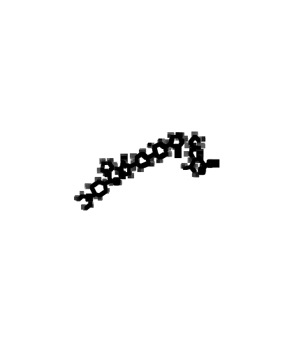 CCN(CC)C1CCC(C(=O)N2CCC[C@H]2c2ncc(-c3ccc(-c4ccc(-c5cnc([C@@H]6CCCN6C[C@@H](NC(=O)O)C(C)C)[nH]5)cc4)cc3)[nH]2)CC1